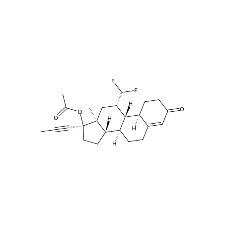 CC#C[C@@]1(OC(C)=O)CC[C@H]2[C@@H]3CCC4=CC(=O)CC[C@@H]4[C@H]3[C@@H](C(F)F)C[C@@]21C